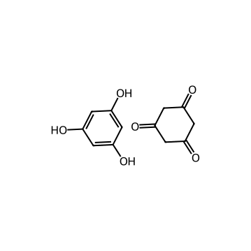 O=C1CC(=O)CC(=O)C1.Oc1cc(O)cc(O)c1